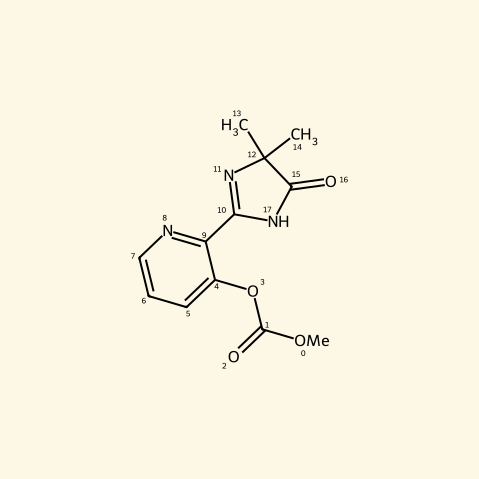 COC(=O)Oc1cccnc1C1=NC(C)(C)C(=O)N1